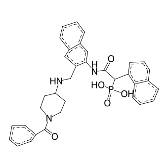 O=C(Nc1cc2ccccc2cc1CNC1CCN(C(=O)c2ccccc2)CC1)C(c1cccc2ccccc12)P(=O)(O)O